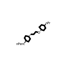 CCCCC[C@H]1CC[C@H](CCCO[C@H]2CC[C@H](CCC)CC2)CC1